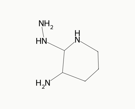 NNC1NCCCC1N